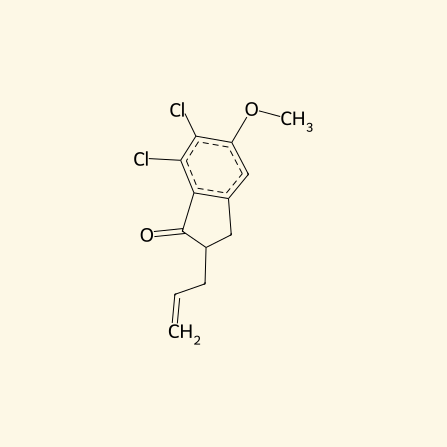 C=CCC1Cc2cc(OC)c(Cl)c(Cl)c2C1=O